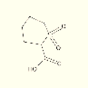 O=C(O)C1CCCCS1(=O)=O